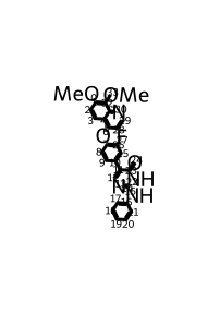 COc1ccc2c(Oc3ccc(-c4cnc(Nc5ccccc5)[nH]c4=O)cc3F)ccnc2c1OC